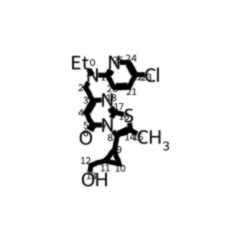 CCN(Cc1cc(=O)n2c(C3CC3CO)c(C)sc2n1)c1ccc(Cl)cn1